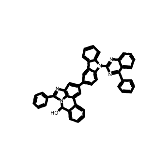 OC1c2ccccc2-c2cc(-c3ccc4c(c3)c3ccccc3n4-c3nc(-c4ccccc4)c4ccccc4n3)cc3nc(-c4ccccc4)n1c23